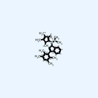 CC1=C(C)C(C)[C]([Zr]([CH]2C=C(c3c(C)c(C)cc(C)c3C)c3ccccc32)=[Si](C)C)=C1C